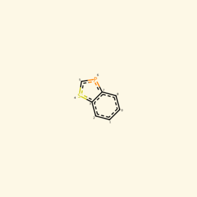 c1ccc2scpc2c1